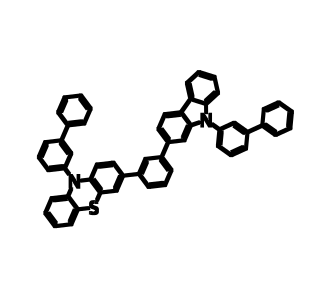 c1ccc(-c2cccc(N3c4ccccc4Sc4cc(-c5cccc(-c6ccc7c8ccccc8n(-c8cccc(-c9ccccc9)c8)c7c6)c5)ccc43)c2)cc1